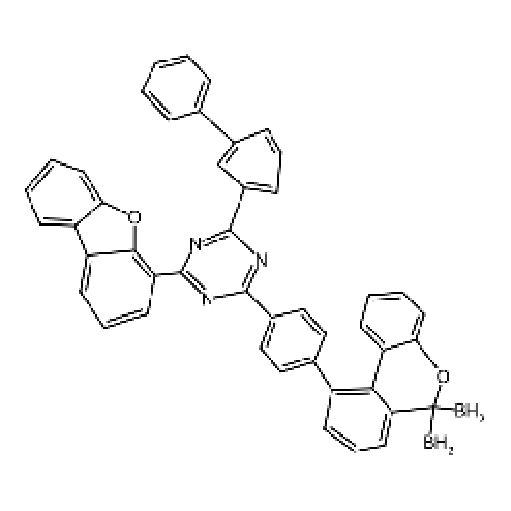 BC1(B)Oc2ccccc2-c2c(-c3ccc(-c4nc(-c5cccc(-c6ccccc6)c5)nc(-c5cccc6c5oc5ccccc56)n4)cc3)cccc21